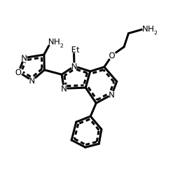 CCn1c(-c2nonc2N)nc2c(-c3ccccc3)ncc(OCCN)c21